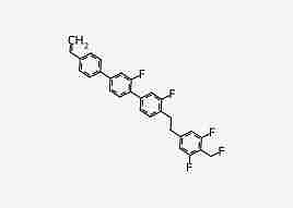 C=Cc1ccc(-c2ccc(-c3ccc(CCc4cc(F)c(CF)c(F)c4)c(F)c3)c(F)c2)cc1